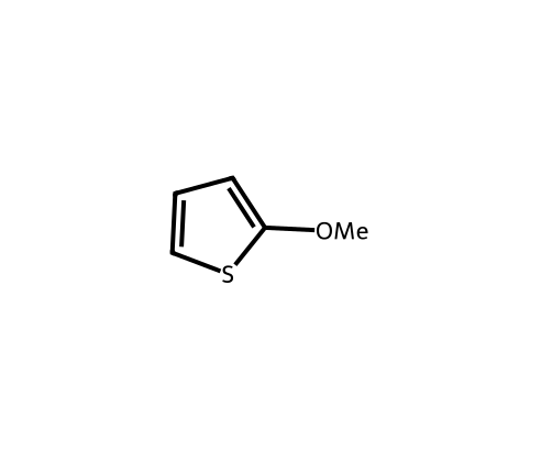 [CH2]Oc1cccs1